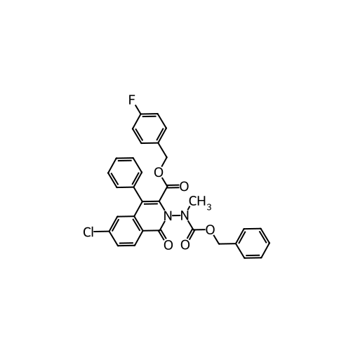 CN(C(=O)OCc1ccccc1)n1c(C(=O)OCc2ccc(F)cc2)c(-c2ccccc2)c2cc(Cl)ccc2c1=O